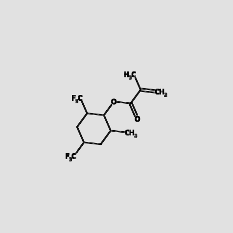 C=C(C)C(=O)OC1C(C)CC(C(F)(F)F)CC1C(F)(F)F